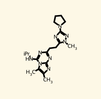 Cc1nc2nc(CCc3nc(N4CCCC4)nn3C)nc(NC(C)C)n2c1C